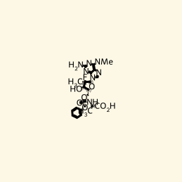 CNc1nc(N)nc2c1ncn2[C@@H]1O[C@H](CO[P@@](=O)(N[C@@H](C)C(=O)O)Oc2ccccc2)[C@@H](O)[C@@]1(C)F